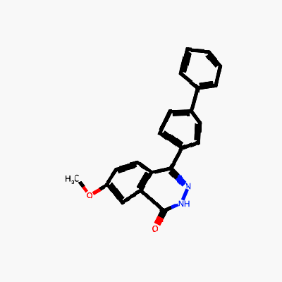 COc1ccc2c(-c3ccc(-c4ccccc4)cc3)n[nH]c(=O)c2c1